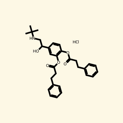 CC(C)(C)NCC(O)c1ccc(OC(=O)CCc2ccccc2)c(OC(=O)CCc2ccccc2)c1.Cl